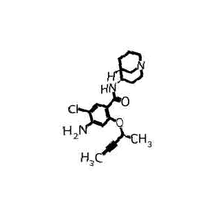 CC#C[C@H](C)Oc1cc(N)c(Cl)cc1C(=O)N[C@H]1CCN2CCC[C@@H]1C2